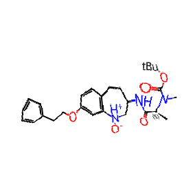 C[C@@H](C(=O)NC1CCc2ccc(OCCc3ccccc3)cc2[NH+]([O-])C1)N(C)C(=O)OC(C)(C)C